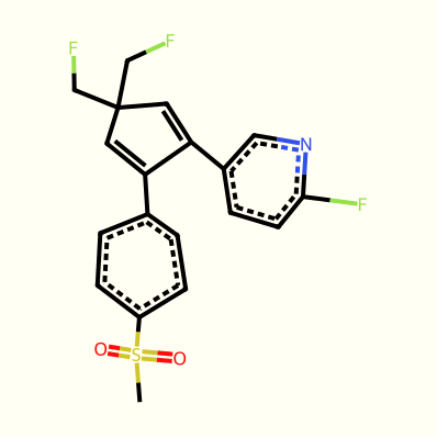 CS(=O)(=O)c1ccc(C2=CC(CF)(CF)C=C2c2ccc(F)nc2)cc1